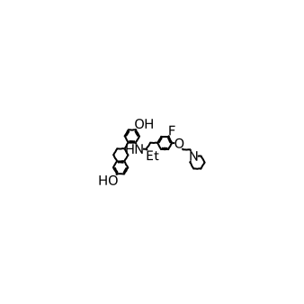 CCC(Cc1ccc(OCCN2CCCCC2)c(F)c1)Nc1cc(O)ccc1C1CCc2cc(O)ccc2C1